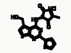 CC1=CC(=O)N(Nc2nc(-c3cccs3)nc3scc(CO)c23)C1=O.Cl